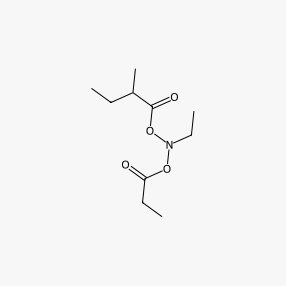 CCC(=O)ON(CC)OC(=O)C(C)CC